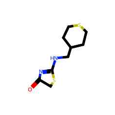 O=C1CSC(NCC2CCSCC2)=N1